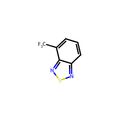 FC(F)(F)c1[c]ccc2nsnc12